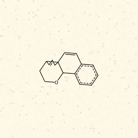 C1=CC2CCOC3c4ccccc4C=CC23C1